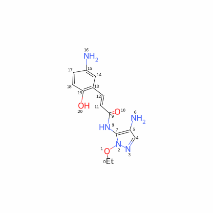 CCOn1ncc(N)c1NC(=O)C=Cc1cc(N)ccc1O